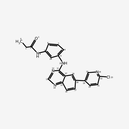 CCC(=O)Nc1cccc(Nc2ncnc3ccc(-c4ccc(Cl)nc4)cc23)c1